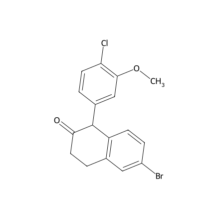 COc1cc(C2C(=O)CCc3cc(Br)ccc32)ccc1Cl